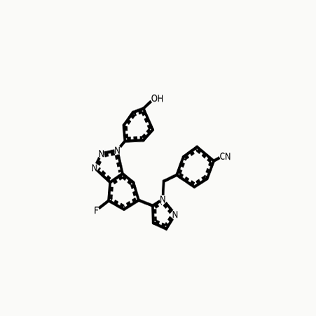 N#Cc1ccc(Cn2nccc2-c2cc(F)c3nnn(-c4ccc(O)cc4)c3c2)cc1